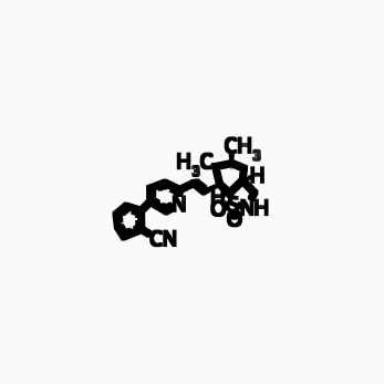 C[C@H]1[C@H](/C=C/c2ccc(-c3ccccc3C#N)cn2)[C@H]2[C@H](CNS2(=O)=O)C[C@@H]1C